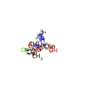 COc1cn([C@@H](CCc2ccn(C3CC3)n2)C(=O)Nc2ccc(C(=O)O)cc2)c(=O)cc1-c1cc(Cl)ccc1C(C)=O